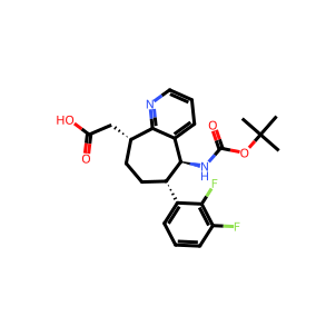 CC(C)(C)OC(=O)N[C@@H]1c2cccnc2[C@@H](CC(=O)O)CC[C@H]1c1cccc(F)c1F